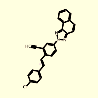 C#Cc1cc(-n2nc3ccc4ccccc4c3n2)ccc1/C=C/c1ccc(Cl)cc1